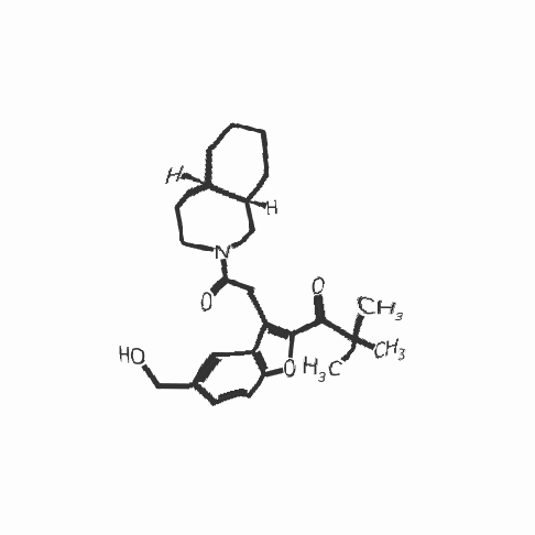 CC(C)(C)C(=O)c1oc2ccc(CO)cc2c1CC(=O)N1CC[C@@H]2CCCC[C@@H]2C1